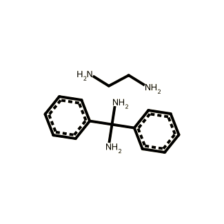 NC(N)(c1ccccc1)c1ccccc1.NCCN